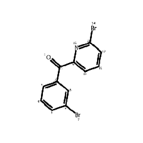 O=C(c1cccc(Br)c1)c1cccc(Br)n1